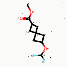 COC(=O)C1CC2(CC(OC(F)F)C2)C1